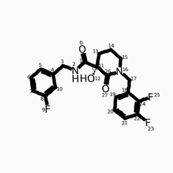 O=C(NCc1cccc(F)c1)[C@@]1(O)CCCN(Cc2cccc(F)c2F)C1=O